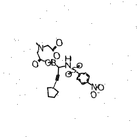 CN1CC(=O)OB(C(C#CC2CCCC2)NS(=O)(=O)c2ccc([N+](=O)[O-])cc2)OC(=O)C1